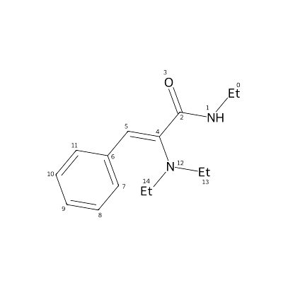 CCNC(=O)C(=Cc1ccccc1)N(CC)CC